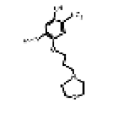 COc1cc(C#N)c([N+](=O)[O-])cc1OCCCN1CCOCC1